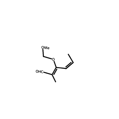 C/C=C\C(OCOC)=C(/C)C=O